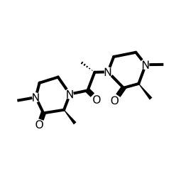 C[C@H]1C(=O)N([C@@H](C)C(=O)N2CCN(C)C(=O)[C@@H]2C)CCN1C